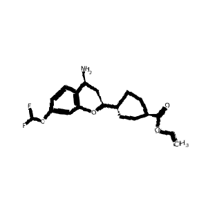 CCOC(=O)[C@H]1CC[C@H]([C@@H]2C[C@H](N)c3ccc(OC(F)F)cc3O2)CC1